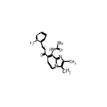 Cc1nc2c(NC(=O)C(C)(C)C)c(C(=O)/C=C/c3ccccc3C(F)(F)F)ccn2c1C